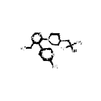 CCc1ncnc(N2CCC(CC(C)(C)O)CC2)c1-c1ccc(N)nc1